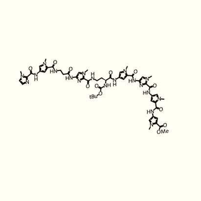 COC(=O)c1cc(NC(=O)c2cc(NC(=O)c3nc(NC(=O)c4cc(NC(=O)[C@H](CCNC(=O)c5nc(NC(=O)CCNC(=O)c6cc(NC(=O)c7nccn7C)cn6C)cn5C)NC(=O)OC(C)(C)C)cn4C)cn3C)cn2C)cn1C